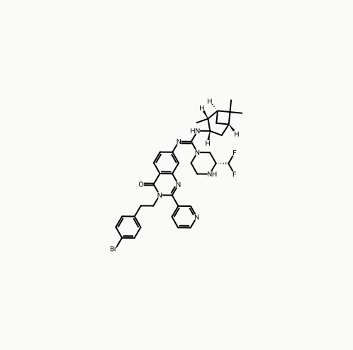 C[C@H]1[C@@H](NC(=Nc2ccc3c(=O)n(CCc4ccc(Br)cc4)c(-c4cccnc4)nc3c2)N2CCN[C@@H](C(F)F)C2)C[C@@H]2C[C@@H]1C2(C)C